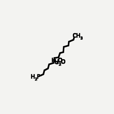 CCCCCCCCCCCCCCP.O.O